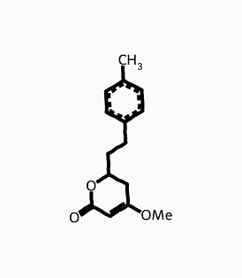 COC1=CC(=O)OC(CCc2ccc(C)cc2)C1